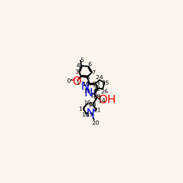 COc1cc(C)ccc1-c1nnc([C@H](O)[C@H]2CCCN(C)C2)c2c1CCC2